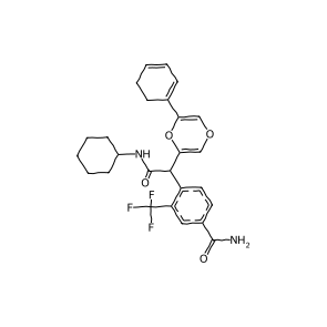 NC(=O)c1ccc(C(C(=O)NC2CCCCC2)C2=COC=C(C3=CC=CCC3)O2)c(C(F)(F)F)c1